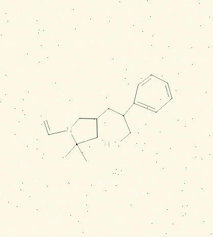 CC1(C)CC(CC(CN)c2ccccc2)CN1C=O